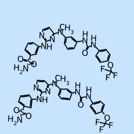 CN(c1cccc(NC(=O)Nc2ccc(OC(F)(F)F)cc2)c1)c1ccnc(Nc2cccc(S(N)(=O)=O)c2)n1.CN(c1cccc(NC(=O)Nc2ccc(OC(F)(F)F)cc2)c1)c1ccnc(Nc2cccc(S(N)(=O)=O)c2)n1